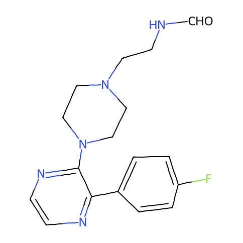 O=CNCCN1CCN(c2nccnc2-c2ccc(F)cc2)CC1